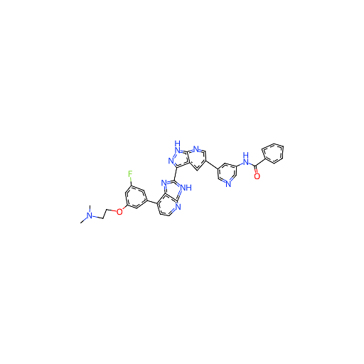 CN(C)CCOc1cc(F)cc(-c2ccnc3[nH]c(-c4n[nH]c5ncc(-c6cncc(NC(=O)c7ccccc7)c6)cc45)nc23)c1